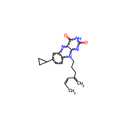 C=C(/C=C\C)CCCn1c2nc(=O)[nH]c(=O)c-2nc2cc(C3CC3)ccc21